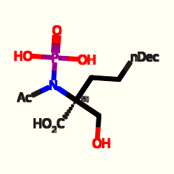 CCCCCCCCCCCC[C@](CO)(C(=O)O)N(C(C)=O)P(=O)(O)O